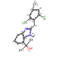 CCC(O)(CC)c1cccc2nc(Cc3c(Cl)cc(C(F)(F)F)cc3Cl)n(C)c12